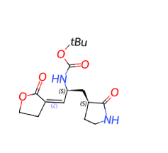 CC(C)(C)OC(=O)N[C@H](/C=C1/CCOC1=O)C[C@@H]1CCNC1=O